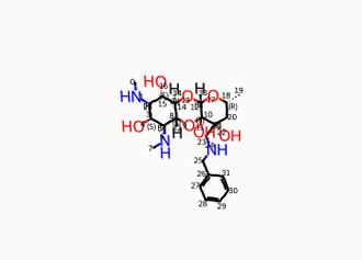 CN[C@@H]1[C@H](O)[C@H](NC)[C@H]2O[C@]3(O)[C@H](O[C@@H]2[C@H]1O)O[C@H](C)C[C@@]3(O)CNCc1ccccc1